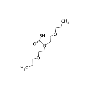 CCCOCCN(CCOCCC)C(=O)S